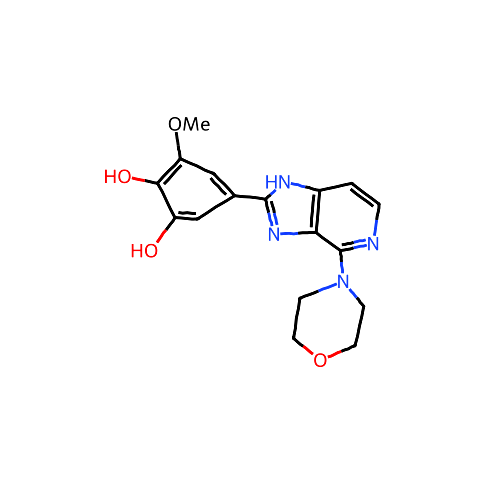 COc1cc(-c2nc3c(N4CCOCC4)nccc3[nH]2)cc(O)c1O